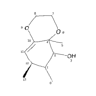 CC1C(O)C2(C)OCCOC2=C[C@@H]1C